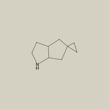 C1CC2CC3(CC3)CC2N1